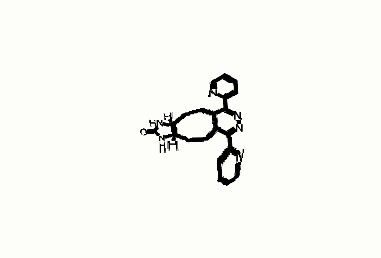 O=C1N[C@H]2CCC3C(c4ccccn4)=NN=C(c4ccccn4)C3CC[C@H]2N1